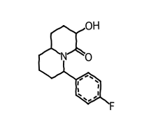 O=C1C(O)CCC2CCCC(c3ccc(F)cc3)N12